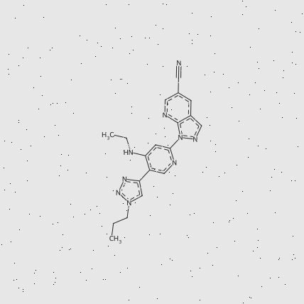 CCCn1cc(-c2cnc(-n3ncc4cc(C#N)cnc43)cc2NCC)nn1